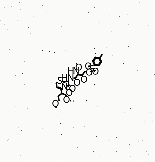 [CH2]OC(=O)C(CCOC)C1=CCS[C@H]2C(NC(=O)C(=NOC)C(=O)COS(=O)(=O)c3ccc(C)cc3)C(=O)N12